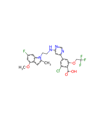 COc1cc(F)cc2c1cc(C)n2CCNc1cc(-c2cc(Cl)c(C(=O)O)c(OCC(F)(F)F)c2)ncn1